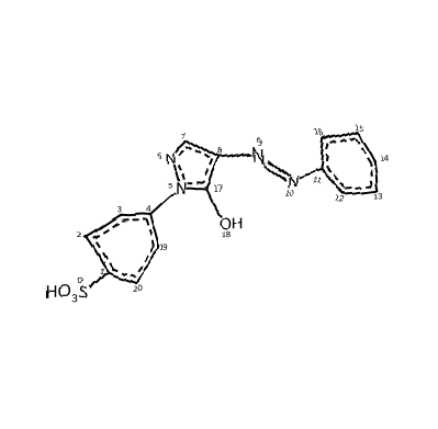 O=S(=O)(O)c1ccc(-n2ncc(N=Nc3ccccc3)c2O)cc1